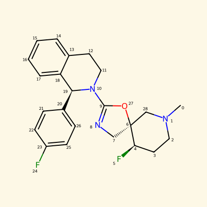 CN1CC[C@@H](F)[C@]2(CN=C(N3CCc4ccccc4[C@@H]3c3ccc(F)cc3)O2)C1